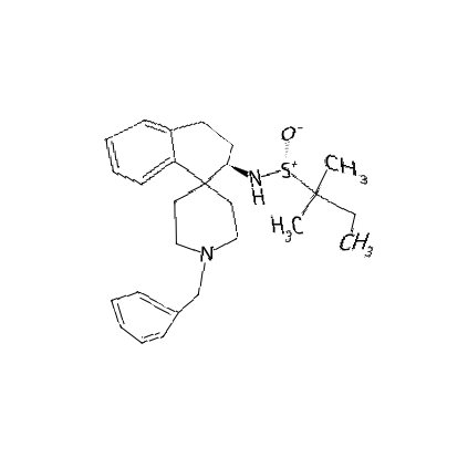 CCC(C)(C)[S@@+]([O-])N[C@@H]1CCc2ccccc2C12CCN(Cc1ccccc1)CC2